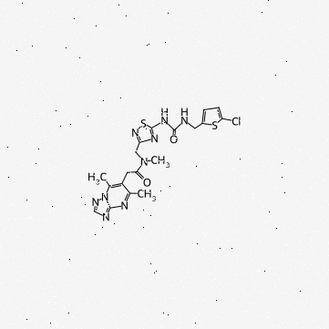 Cc1nc2ncnn2c(C)c1CC(=O)N(C)Cc1nsc(NC(=O)NCc2ccc(Cl)s2)n1